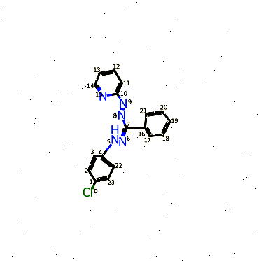 Clc1ccc(NN=C(N=Nc2ccccn2)c2ccccc2)cc1